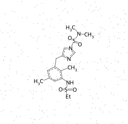 CCS(=O)(=O)Nc1cc(C)cc(Cc2cn(S(=O)(=O)N(C)C)cn2)c1C